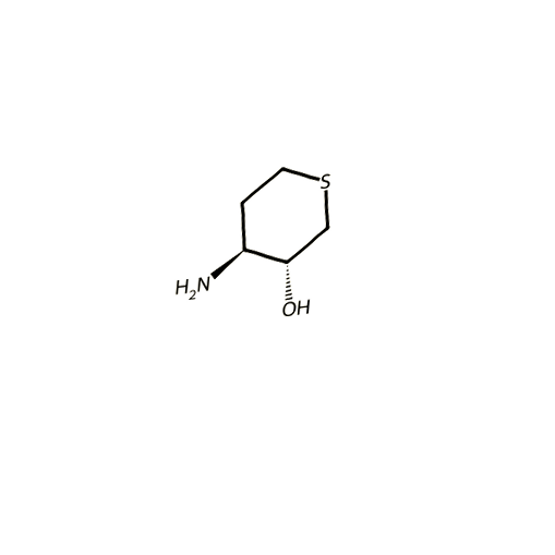 N[C@H]1CCSC[C@@H]1O